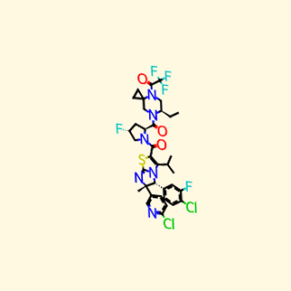 CC[C@@H]1CN(C(=O)C(F)(F)F)C2(CC2)CN1C(=O)[C@@H]1C[C@@H](F)CN1C(=O)C1=C(C(C)C)N2C(=N[C@@](C)(c3ccc(Cl)nc3)[C@H]2c2ccc(Cl)c(F)c2)S1